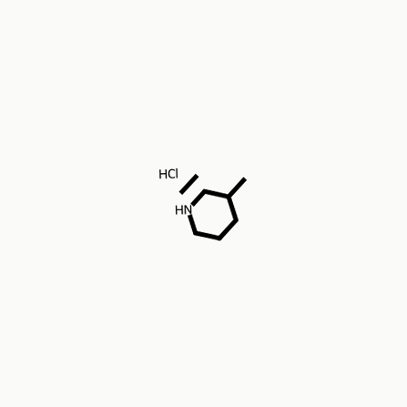 CC.CC1CCCNC1.Cl